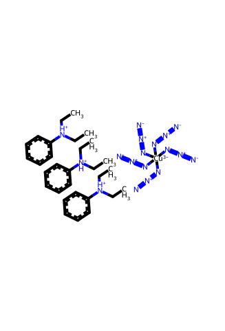 CC[NH+](CC)c1ccccc1.CC[NH+](CC)c1ccccc1.CC[NH+](CC)c1ccccc1.[N-]=[N+]=[N][Cu-3]([N]=[N+]=[N-])([N]=[N+]=[N-])([N]=[N+]=[N-])[N]=[N+]=[N-]